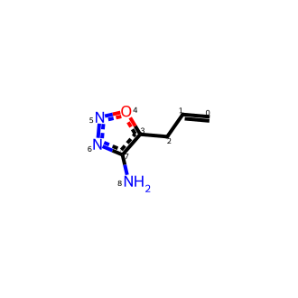 C=CCc1onnc1N